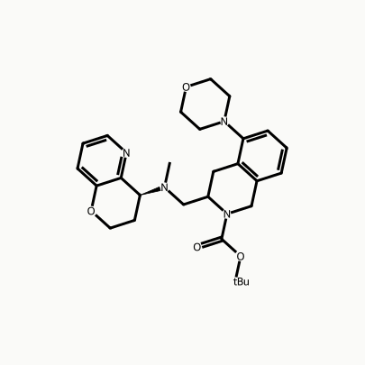 CN(CC1Cc2c(cccc2N2CCOCC2)CN1C(=O)OC(C)(C)C)[C@H]1CCOc2cccnc21